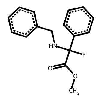 COC(=O)C(F)(NCc1ccccc1)c1ccccc1